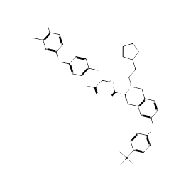 CC(C)(C)c1ccc(Oc2ccc3c(c2)C[C@@H](C(=O)N[C@@H](Cc2ccc(Oc4ccc(F)c(Cl)c4)cc2)C(=O)O)N(CCC2CCCC2)C3)cc1